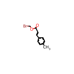 Cc1ccc(/C=C/C(=O)OCBr)cc1